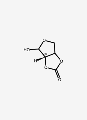 O=C1OC2COC(O)[C@H]2O1